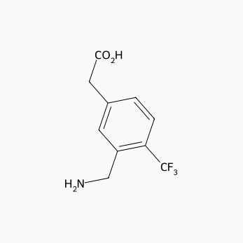 NCc1cc(CC(=O)O)ccc1C(F)(F)F